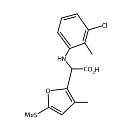 CSc1cc(C)c(C(Nc2cccc(Cl)c2C)C(=O)O)o1